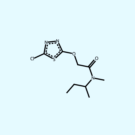 CCC(C)N(C)C(=O)COc1nnc(Cl)s1